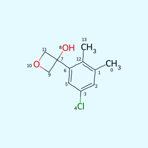 Cc1cc(Cl)cc(C2(O)COC2)c1C